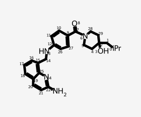 CC(C)CC1(O)CCN(C(=O)c2ccc(NCc3cccc4ccc(N)nc34)cc2)CC1